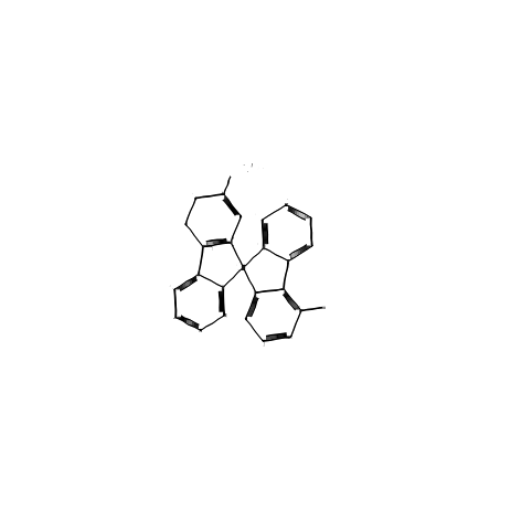 COC1=CC2=C(CC1)c1ccccc1C21c2ccccc2-c2c(Br)cccc21